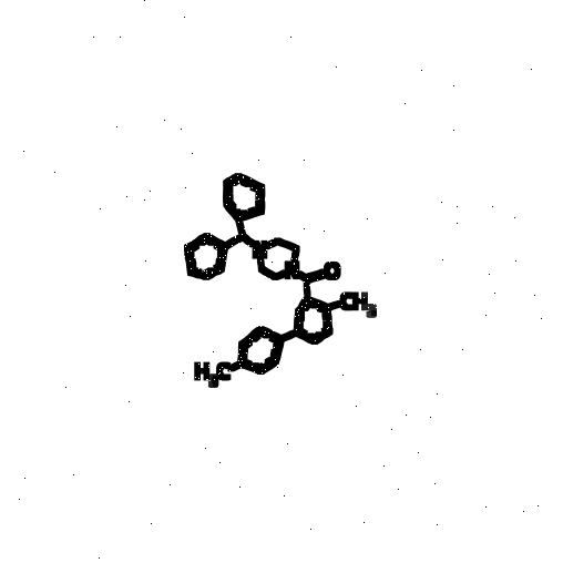 Cc1ccc(-c2ccc(C)c(C(=O)N3CCN(C(c4ccccc4)c4ccccc4)CC3)c2)cc1